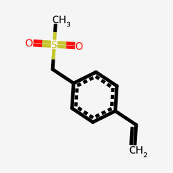 C=Cc1ccc(CS(C)(=O)=O)cc1